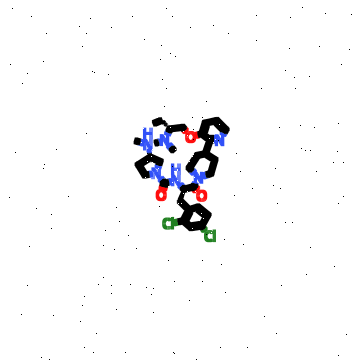 CC[C@H](COc1cccnc1C1CCN(C(=O)[C@@H](Cc2ccc(Cl)cc2Cl)NC(=O)N2CC[C@@H](NC)C2)CC1)N(C)C